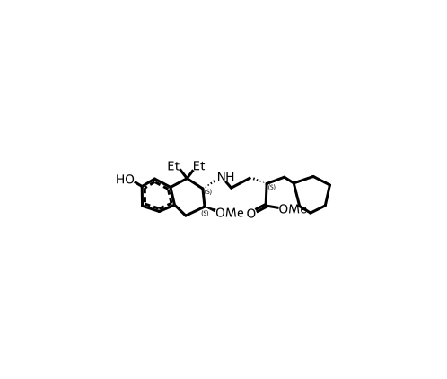 CCC1(CC)c2cc(O)ccc2C[C@H](OC)[C@H]1NCC[C@H](CC1CCCCC1)C(=O)OC